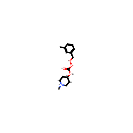 Cc1cccc(COOC(=O)OC2CCN(C)CC2)c1